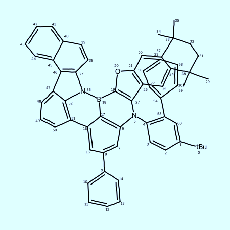 CC(C)(C)c1ccc(N2c3cc(-c4ccccc4)cc4c3B(c3oc5cc6c(cc5c32)C(C)(C)CCC6(C)C)n2c3ccc5ccccc5c3c3cccc-4c32)c(-c2ccccc2)c1